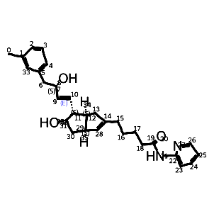 Cc1cccc(C[C@H](O)/C=C/[C@@H]2[C@H]3CC(CCCCC(=O)Nc4ccccn4)=C[C@H]3C[C@H]2O)c1